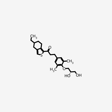 CCC1CCc2c(csc2C(=O)CCc2cc(C)c(OC[C@@H](O)CO)c(C)c2)C1